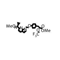 CON=C(c1ccc2ccn(CCOc3ccc(CC(OCC(F)(F)F)C(=O)OC)cc3)c2n1)C1CC1